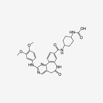 COc1ccc(Nc2ncc3c(n2)-c2ccc(C(=O)NC4CCC(NC(=O)O)CC4)cc2NC(=O)C3)cc1OC